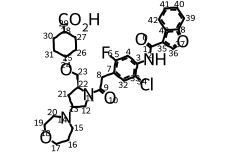 O=C(Nc1cc(F)c(CC(=O)N2C[C@@H](N3CCCOCC3)C[C@H]2CO[C@H]2CC[C@H](C(=O)O)CC2)cc1Cl)c1coc2ccccc12